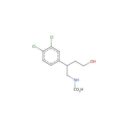 O=C(O)NCC(CCO)c1ccc(Cl)c(Cl)c1